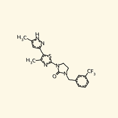 Cc1cc(-c2sc(N3CCN(Cc4cccc(C(F)(F)F)c4)C3=O)nc2C)n[nH]1